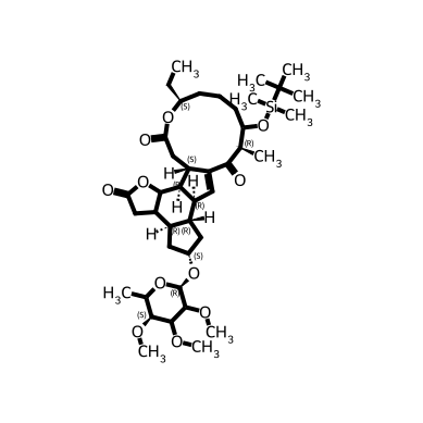 CC[C@H]1CCCC(O[Si](C)(C)C(C)(C)C)[C@@H](C)C(=O)C2=C[C@H]3[C@@H]4C[C@H](O[C@@H]5OC(C)[C@H](OC)C(OC)C5OC)C[C@H]4C4CC(=O)OC4[C@H]3[C@@H]2CC(=O)O1